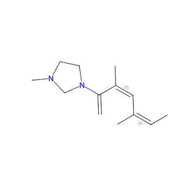 C=C(/C(C)=C\C(C)=C/C)N1CCN(C)C1